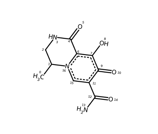 CC1CNC(=O)c2c(O)c(=O)c(C(N)=O)cn21